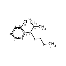 CCCCC(c1ccccc1Cl)C(C)C